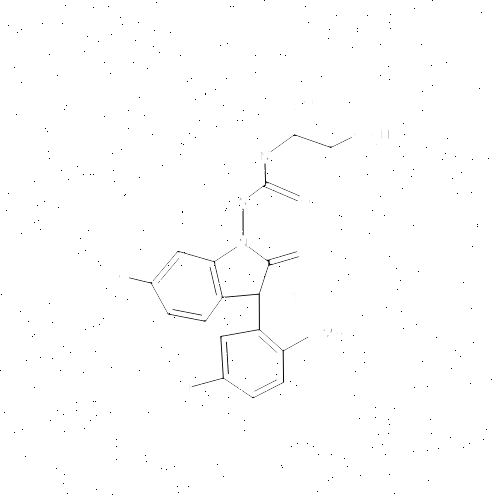 COc1ccc(Cl)cc1[C@]1(F)C(=O)N(NC(=O)N[C@@H](CC(=O)O)C(=O)O)c2cc(C(F)(F)F)ccc21